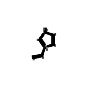 C=C[n+]1cc[nH]c1